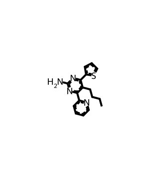 CCCCc1c(-c2ccccn2)nc(N)nc1-c1cccs1